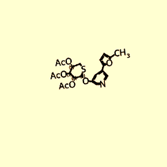 CC(=O)O[C@@H]1[C@@H](OC(C)=O)[C@H](OC(C)=O)CS[C@H]1Oc1cncc(-c2ccc(C)o2)c1